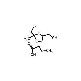 CC(C)CC1(C)OCC(CO)O1.CCCC(=O)O